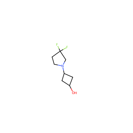 OC1CC(N2CCC(F)(F)C2)C1